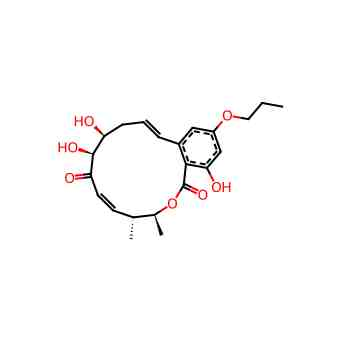 CCCOc1cc(O)c2c(c1)/C=C/C[C@H](O)[C@H](O)C(=O)/C=C\[C@@H](C)[C@H](C)OC2=O